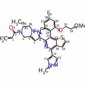 C=CC(=O)N1Cc2cc(-c3nc(-c4cnn(C)c4)c4ccsc4c3-c3c(F)cc(F)cc3OCCOC)nn2C[C@H]1C